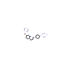 C[C@@H]1CN(C(=O)c2ccc3c(Cl)cc(-c4ccc(N5CCN(C)CC5)cc4)nc3c2)CCN1C(=O)O